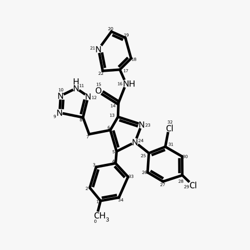 Cc1ccc(-c2c(Cc3nn[nH]n3)c(C(=O)Nc3cccnc3)nn2-c2ccc(Cl)cc2Cl)cc1